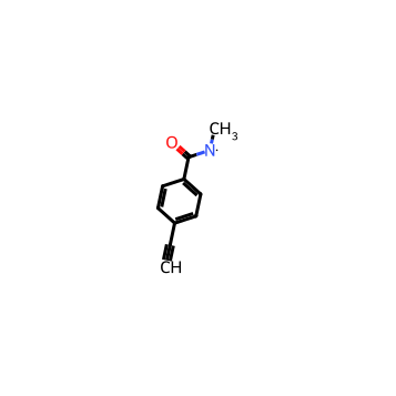 C#Cc1ccc(C(=O)[N]C)cc1